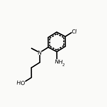 CN(CCCO)c1ccc(Cl)cc1N